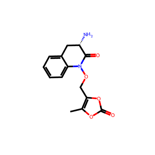 Cc1oc(=O)oc1CON1C(=O)[C@@H](N)Cc2ccccc21